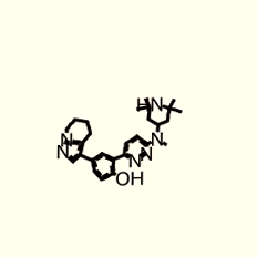 CN(c1ccc(-c2cc(-c3cnn4c3CCCC4)ccc2O)nn1)C1CC(C)(C)NC(C)(C)C1